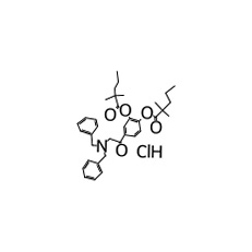 CCCC(C)(C)C(=O)Oc1ccc(C(=O)CN(Cc2ccccc2)Cc2ccccc2)cc1OC(=O)C(C)(C)CCC.Cl